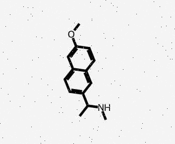 CNC(C)c1ccc2cc(OC)ccc2c1